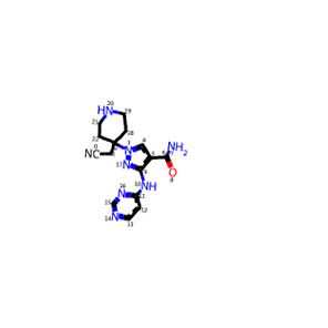 N#CCC1(n2cc(C(N)=O)c(Nc3ccncn3)n2)CCNCC1